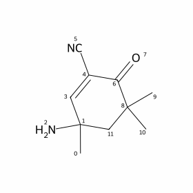 CC1(N)C=C(C#N)C(=O)C(C)(C)C1